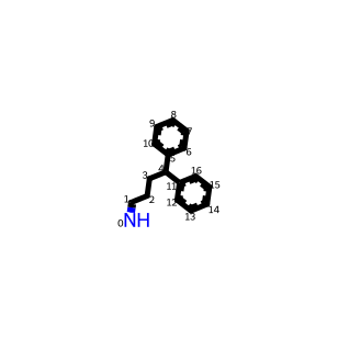 N=CCCC(c1ccccc1)c1ccccc1